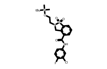 CC(C)(C)[Si](C)(C)OCCN1Cc2c(C(=O)Nc3ccc(F)c(Cl)c3)cccc2S1(=O)=O